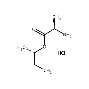 CC[C@H](C)OC(=O)[C@@H](C)N.Cl